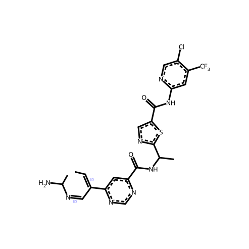 C/C=C(\C=N/C(C)N)c1cc(C(=O)NC(C)c2ncc(C(=O)Nc3cc(C(F)(F)F)c(Cl)cn3)s2)ncn1